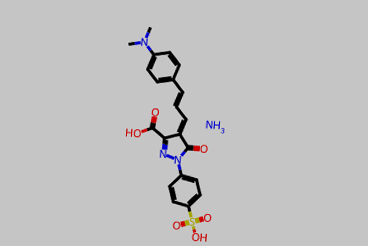 CN(C)c1ccc(C=CC=C2C(=O)N(c3ccc(S(=O)(=O)O)cc3)N=C2C(=O)O)cc1.N